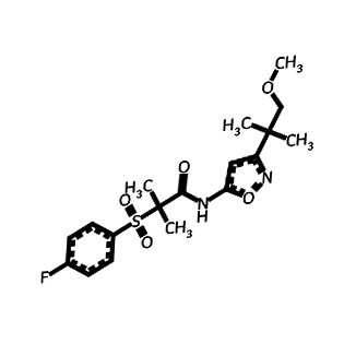 COCC(C)(C)c1cc(NC(=O)C(C)(C)S(=O)(=O)c2ccc(F)cc2)on1